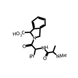 CNC(C)C(=O)NC(C(=O)N1Cc2ccccc2C1C(=O)O)C(C)C